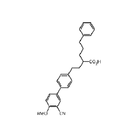 COc1ccc(-c2ccc(CCC(CCCc3ccccc3)C(=O)O)cc2)cc1C#N